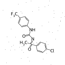 CS(=O)(=NC(=O)Nc1ccc(C(F)(F)F)cc1)c1ccc(Cl)cc1